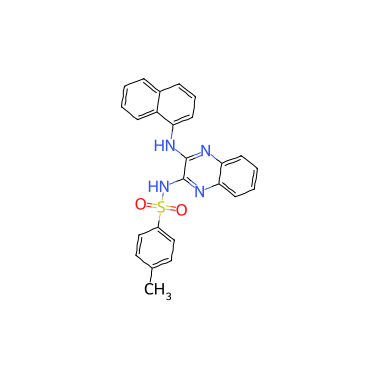 Cc1ccc(S(=O)(=O)Nc2nc3ccccc3nc2Nc2cccc3ccccc23)cc1